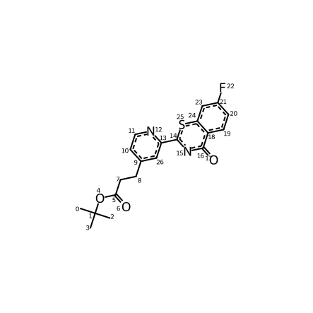 CC(C)(C)OC(=O)CCc1ccnc(-c2nc(=O)c3ccc(F)cc3s2)c1